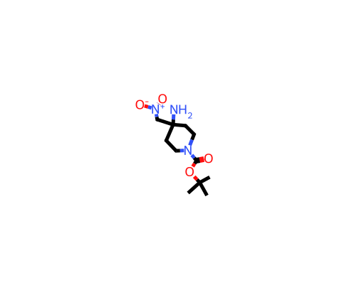 CC(C)(C)OC(=O)N1CCC(N)(C[N+](=O)[O-])CC1